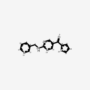 O=C(c1cnc(NCc2cccnc2)nc1)c1cccs1